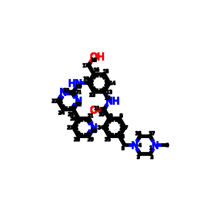 CN1CCN(Cc2ccc(C(=O)Nc3ccc(CO)c(Nc4nccc(-c5cccnc5)n4)c3)cc2)CC1